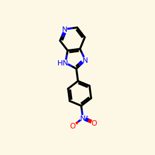 O=[N+]([O-])c1ccc(-c2nc3ccncc3[nH]2)cc1